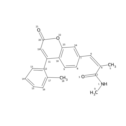 CNC(=O)C(C)=Cc1ccc2c(-c3ccccc3C)cc(=O)oc2c1